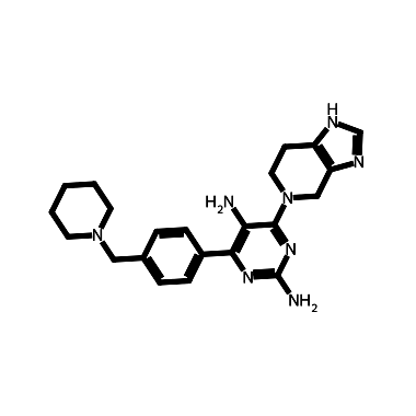 Nc1nc(-c2ccc(CN3CCCCC3)cc2)c(N)c(N2CCc3[nH]cnc3C2)n1